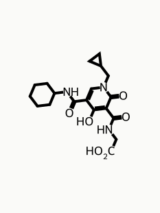 O=C(O)CNC(=O)c1c(O)c(C(=O)NC2CCCCC2)cn(CC2CC2)c1=O